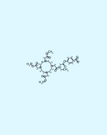 CCN(CC(=O)Oc1ccc([N+](=O)[O-])cc1)C(=O)CN1CCN(CC(=O)OC)CCN(CC(=O)OC)CCN(CC(=O)OC)CC1